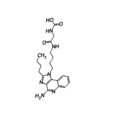 CCCCc1nc2c(N)nc3ccccc3c2n1CCCCNC(=O)CNC(=O)O